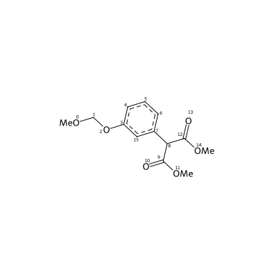 COCOc1cccc(C(C(=O)OC)C(=O)OC)c1